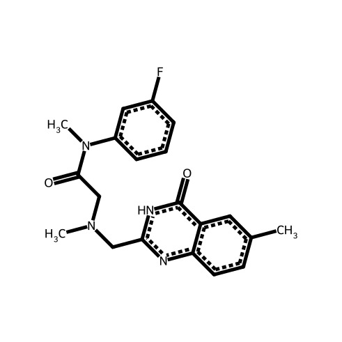 Cc1ccc2nc(CN(C)CC(=O)N(C)c3cccc(F)c3)[nH]c(=O)c2c1